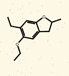 CCOc1cc2c(cc1CC)OC(C)C2